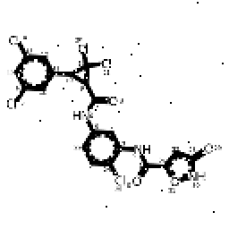 O=C(Nc1cc(NC(=O)C2C(c3cc(Cl)cc(Cl)c3)C2(Cl)Cl)ccc1Cl)c1cc(=O)[nH]o1